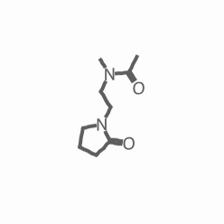 CC(=O)N(C)CCN1CCCC1=O